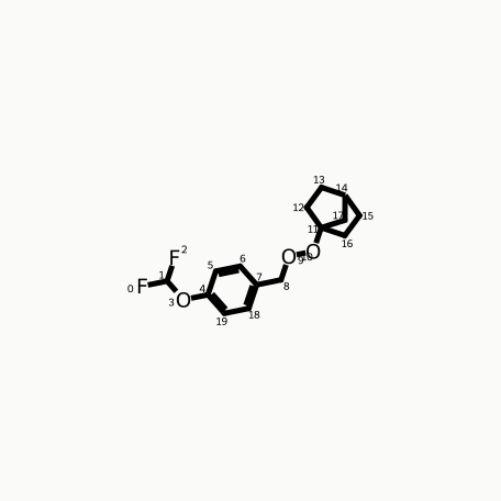 FC(F)Oc1ccc(COOC23CCC(CC2)C3)cc1